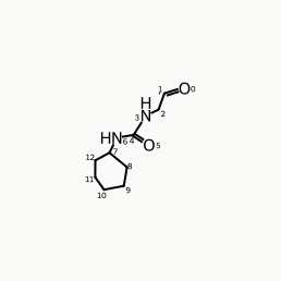 O=[C]CNC(=O)NC1CCCCC1